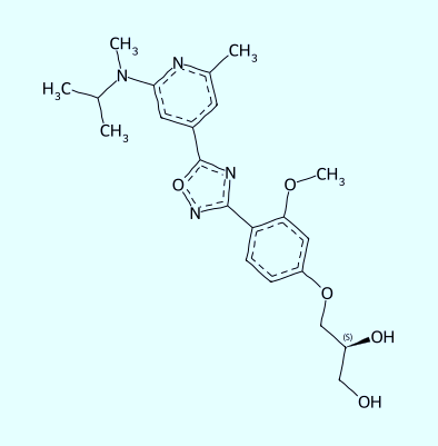 COc1cc(OC[C@@H](O)CO)ccc1-c1noc(-c2cc(C)nc(N(C)C(C)C)c2)n1